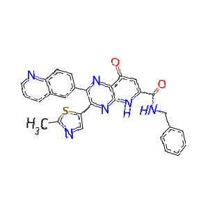 Cc1ncc(-c2nc3[nH]c(C(=O)NCc4ccccc4)cc(=O)c3nc2-c2ccc3ncccc3c2)s1